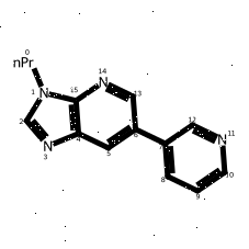 CCCn1cnc2cc(-c3cccnc3)cnc21